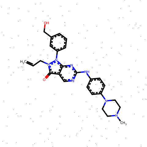 C=CCn1c(=O)c2cnc(Nc3ccc(N4CCN(C)CC4)cc3)nc2n1-c1cccc(CO)c1